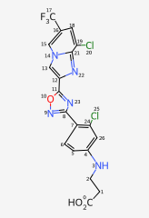 O=C(O)CCNc1ccc(-c2noc(-c3cn4cc(C(F)(F)F)cc(Cl)c4n3)n2)c(Cl)c1